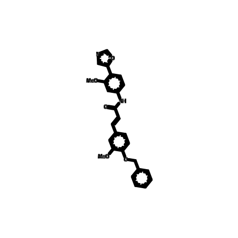 COc1cc(C=CC(=O)Nc2ccc(-c3cnco3)c(OC)c2)ccc1OCc1ccccc1